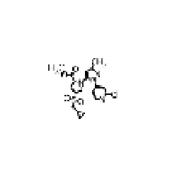 COC(=O)[C@@H]1C[C@@H](S(=O)(=O)CC2CC2)CN1c1cc(C)nn1-c1ccnc(Cl)c1